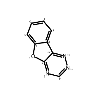 c1ccc2c(c1)oc1ncnnc12